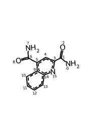 NC(=O)c1cc(C(N)=O)c2ccccc2n1